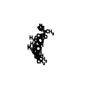 CC(C(=O)OC1CC[C@]2(C)[C@H]3CC[C@@H]4[C@H]5[C@H]6OC[C@@]5(CCC6(C)C)CC[C@@]4(C)[C@]3(C)CC[C@H]2C1(C)C)n1ccnc1